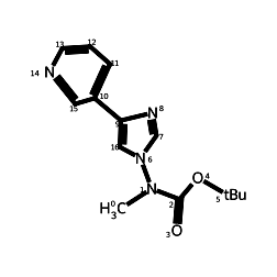 CN(C(=O)OC(C)(C)C)n1cnc(-c2cccnc2)c1